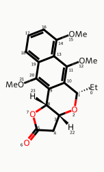 CC[C@@H]1O[C@@H]2CC(=O)O[C@@H]2c2c1c(OC)c1c(OC)cccc1c2OC